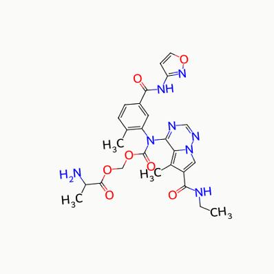 CCNC(=O)c1cn2ncnc(N(C(=O)OCOC(=O)C(C)N)c3cc(C(=O)Nc4ccon4)ccc3C)c2c1C